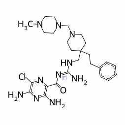 CN1CCN(CN2CCC(CCc3ccccc3)(CN/C(N)=N/C(=O)c3nc(Cl)c(N)nc3N)CC2)CC1